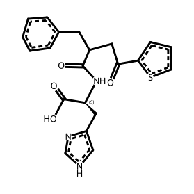 O=C(CC(Cc1ccccc1)C(=O)N[C@@H](Cc1c[nH]cn1)C(=O)O)c1cccs1